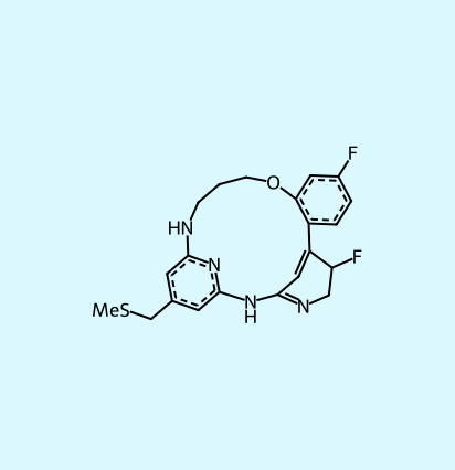 CSCc1cc2nc(c1)NC1=NCC(F)C(=C1)c1ccc(F)cc1OCCCN2